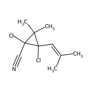 CC(C)=CC1(Cl)C(C)(C)C1(Cl)C#N